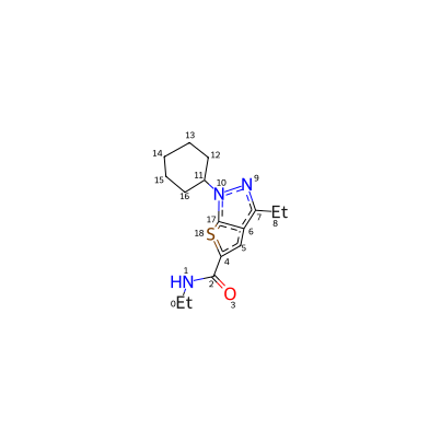 CCNC(=O)c1cc2c(CC)nn(C3CCCCC3)c2s1